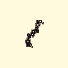 O=C(OCc1ccc([N+](=O)[O-])cc1)c1ccc2cc(C(=O)OCc3ccc([N+](=O)[O-])cc3)ccc2c1